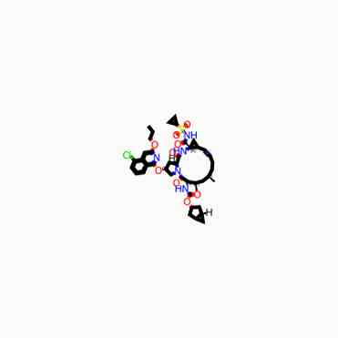 CCCOc1cc2c(Cl)cccc2c(O[C@@H]2C[C@H]3C(=O)N[C@]4(C(=O)NS(=O)(=O)C5CC5)CC4/C=C\CC[C@@H](C)C[C@@H](C)[C@H](NC(=O)OC4CC5C[C@H]5C4)C(=O)N3C2)n1